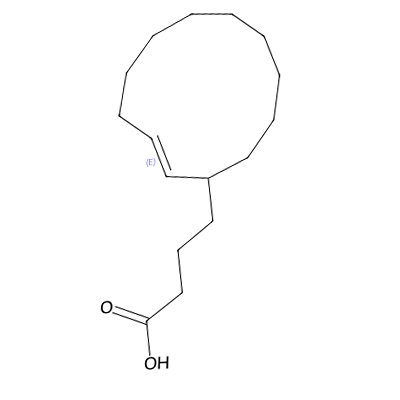 O=C(O)CCCC1/C=C/CCCCCCCCC1